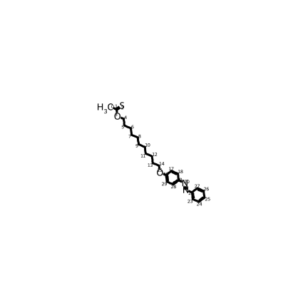 CC(=S)OCCCCCCCCCCCOc1ccc(N=Nc2ccccc2)cc1